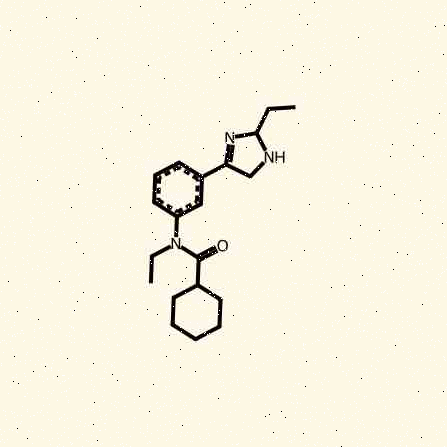 CCC1N=C(c2cccc(N(CC)C(=O)C3CCCCC3)c2)CN1